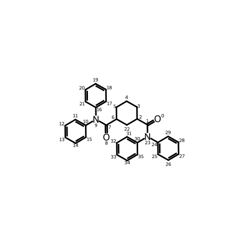 O=C(C1CCCC(C(=O)N(c2ccccc2)c2ccccc2)C1)N(c1ccccc1)c1ccccc1